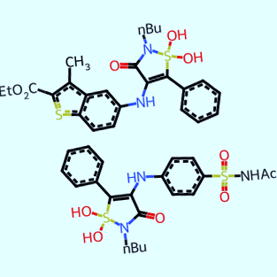 CCCCN1C(=O)C(Nc2ccc(S(=O)(=O)NC(C)=O)cc2)=C(c2ccccc2)S1(O)O.CCCCN1C(=O)C(Nc2ccc3sc(C(=O)OCC)c(C)c3c2)=C(c2ccccc2)S1(O)O